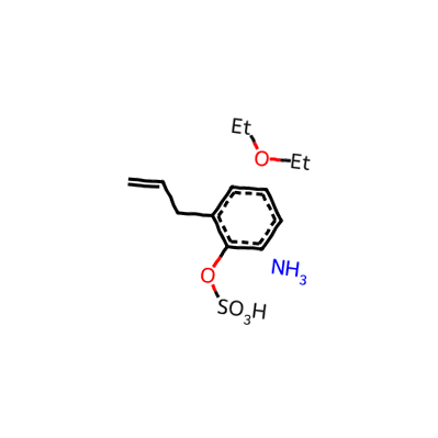 C=CCc1ccccc1OS(=O)(=O)O.CCOCC.N